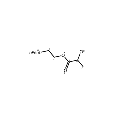 CCCCCCCOC(=O)C(C)Cl